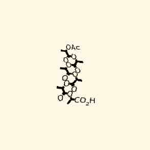 CC(=O)OC(C)C(=O)OC(C)C(=O)OC(C)C(=O)OC(C)C(=O)OC(C)C(=O)OC(C)C(=O)O